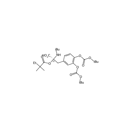 CCC(C)N[C@@](Cc1ccc(OC(=O)OC(C)(C)C)c(OC(=O)OC(C)(C)C)c1)(OC(=O)C(C)(C)CC)C(=O)O